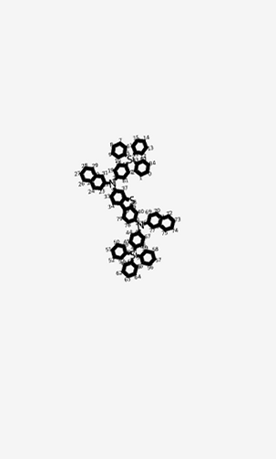 c1ccc([Si](c2ccccc2)(c2ccccc2)c2ccc(N(c3ccc4ccccc4c3)c3ccc4c(c3)sc3cc(N(c5ccc([Si](c6ccccc6)(c6ccccc6)c6ccccc6)cc5)c5ccc6ccccc6c5)ccc34)cc2)cc1